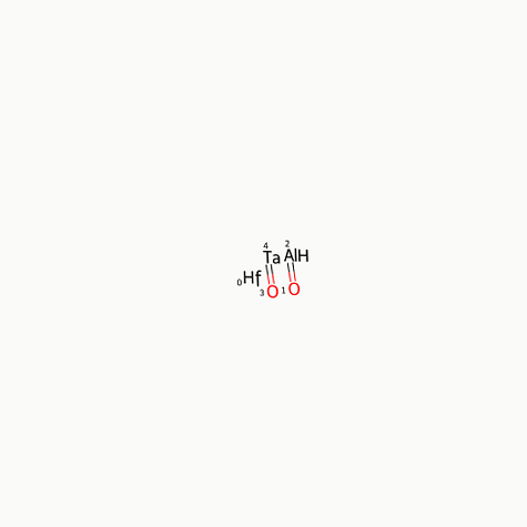 [Hf].[O]=[AlH].[O]=[Ta]